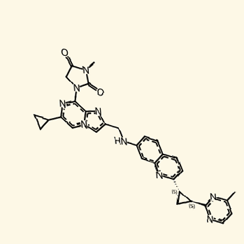 Cc1ccnc([C@H]2C[C@@H]2c2ccc3ccc(NCc4cn5cc(C6CC6)nc(N6CC(=O)N(C)C6=O)c5n4)cc3n2)n1